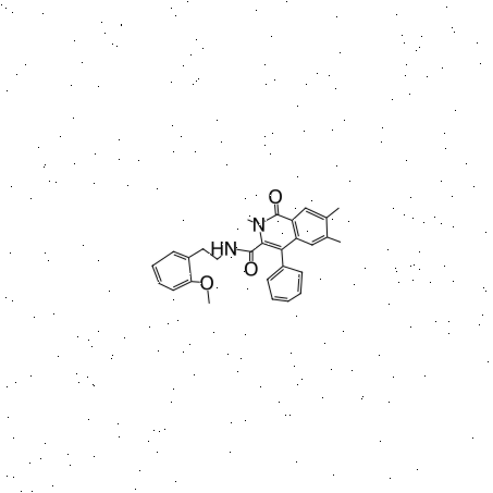 COc1ccccc1CCNC(=O)c1c(-c2ccccc2)c2cc(C)c(C)cc2c(=O)n1C